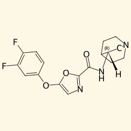 O=C(N[C@H]1CN2CCC1CC2)c1ncc(Oc2ccc(F)c(F)c2)o1